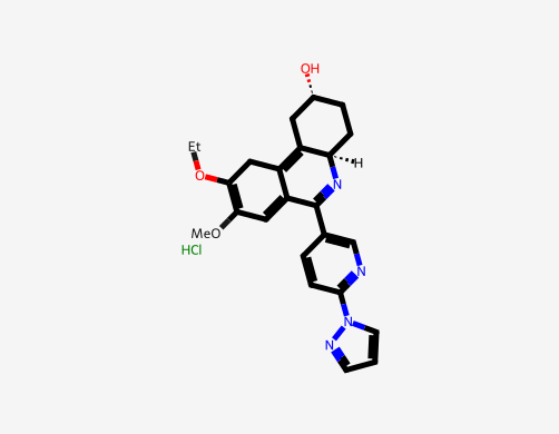 CCOC1=C(OC)C=C2C(c3ccc(-n4cccn4)nc3)=N[C@@H]3CC[C@@H](O)CC3=C2C1.Cl